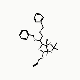 C=CCOC1OC(C(COCc2ccccc2)OCc2ccccc2)[C@@H]2OC(C)(C)O[C@H]12